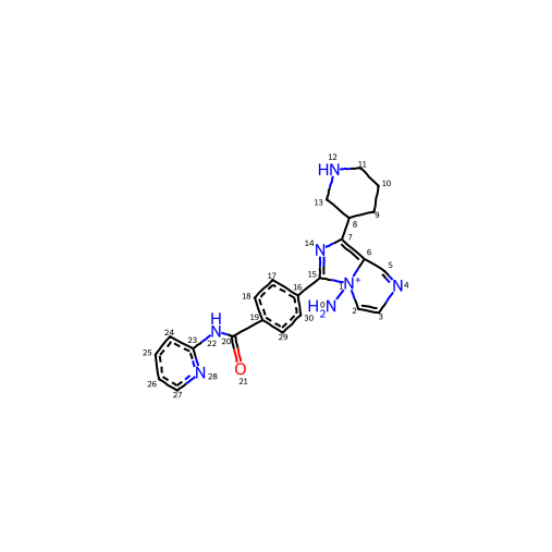 N[N+]12C=CN=CC1=C(C1CCCNC1)N=C2c1ccc(C(=O)Nc2ccccn2)cc1